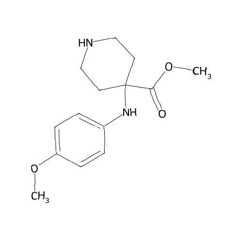 COC(=O)C1(Nc2ccc(OC)cc2)CCNCC1